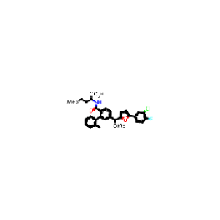 COC(c1ccc(C(=O)NC(CCSC)C(=O)O)c(-c2ccccc2C)c1)c1ccc(-c2ccc(F)c(Cl)c2)o1